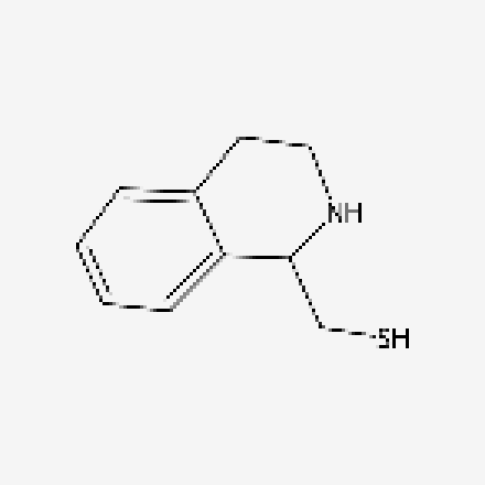 SCC1NCCc2ccccc21